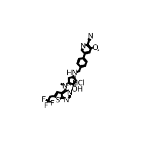 COc1cc(-c2ccc(CN[C@H]3C[C@@H](O)[C@@H](N(C)c4ncnc5sc(CC(F)(F)F)cc45)C3)cc2)cnc1C#N.Cl